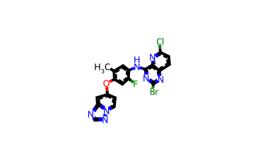 Cc1cc(Nc2nc(Br)nc3ccc(Cl)nc23)c(F)cc1Oc1ccn2ncnc2c1